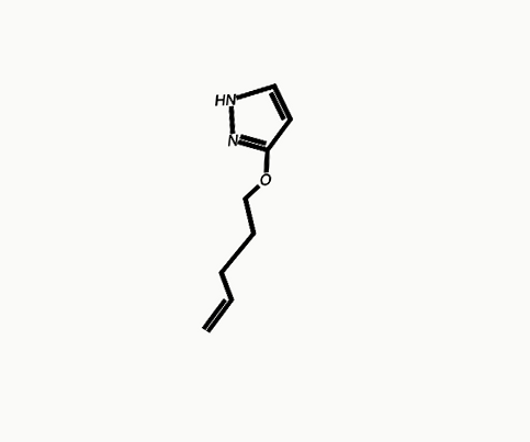 C=CCCCOc1cc[nH]n1